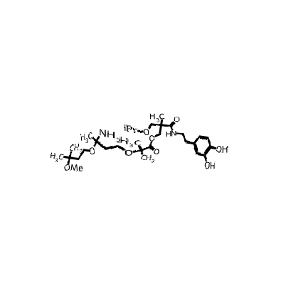 COC(C)(C)CCOC(C)(N)CCOC(C)(C)C(=O)OCC(C)(COC(C)C)C(=O)NCCc1ccc(O)c(O)c1